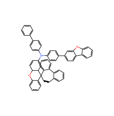 C1=CC2Oc3ccccc3C3(c4ccccc4-c4ccccc4-c4ccccc43)C2C=C1N(c1ccc(-c2ccccc2)cc1)c1ccc(-c2ccc3c(c2)oc2ccccc23)cc1